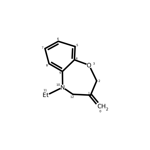 C=C1COc2ccccc2N(CC)C1